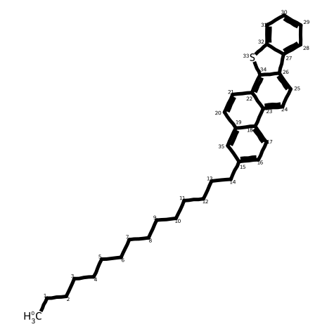 CCCCCCCCCCCCCCCc1ccc2c(ccc3c2ccc2c4ccccc4sc23)c1